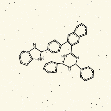 c1ccc(C2N=C(c3cc4ccccc4cc3-c3ccc(C4Nc5ccccc5N4)cc3)NC(c3ccccc3)N2)cc1